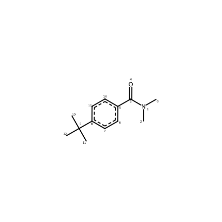 CN(C)C(=O)c1ccc(C(C)(C)C)cc1